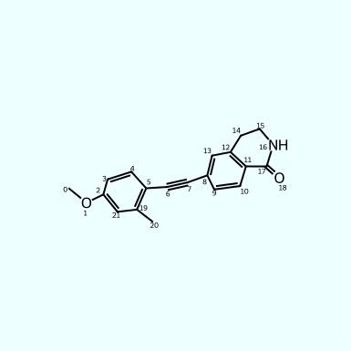 COc1ccc(C#Cc2ccc3c(c2)CCNC3=O)c(C)c1